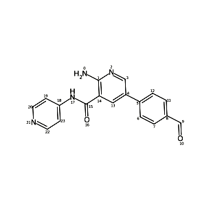 Nc1ncc(-c2ccc(C=O)cc2)cc1C(=O)Nc1ccncc1